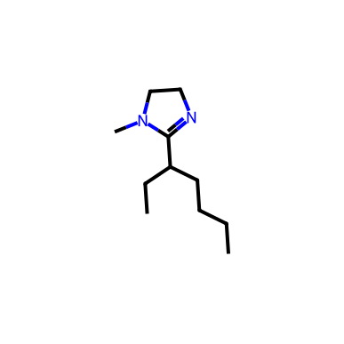 CCCCC(CC)C1=NCCN1C